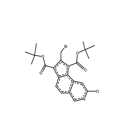 CC(C)(C)OC(=O)c1c(CBr)n(C(=O)OC(C)(C)C)c2c1ccc1cnc(Cl)cc12